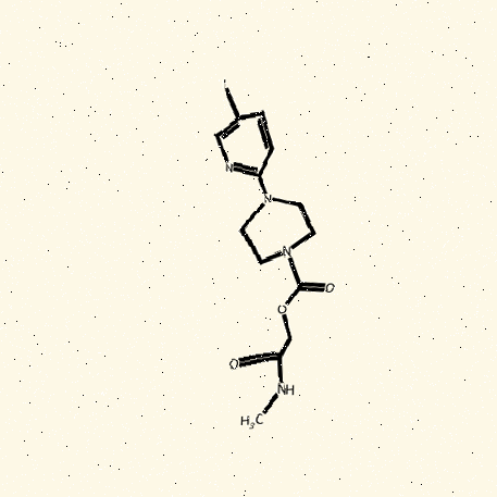 CNC(=O)COC(=O)N1CCN(c2ccc(I)cn2)CC1